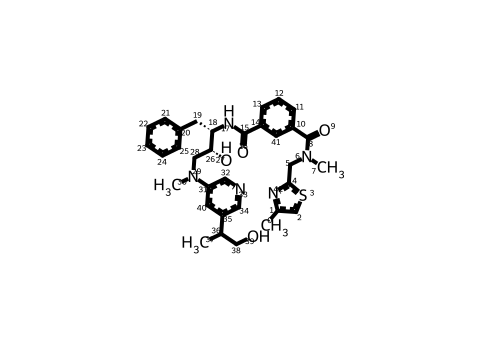 Cc1csc(CN(C)C(=O)c2cccc(C(=O)N[C@@H](Cc3ccccc3)[C@H](O)CN(C)c3cncc(C(C)CO)c3)c2)n1